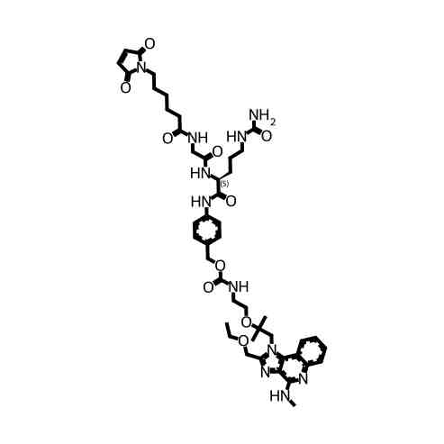 CCOCc1nc2c(NC)nc3ccccc3c2n1CC(C)(C)OCCNC(=O)OCc1ccc(NC(=O)[C@H](CCCNC(N)=O)NC(=O)CNC(=O)CCCCCN2C(=O)C=CC2=O)cc1